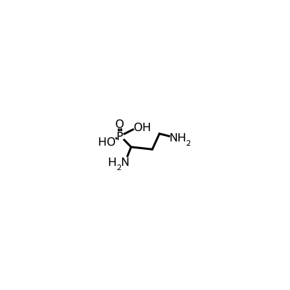 NCCC(N)P(=O)(O)O